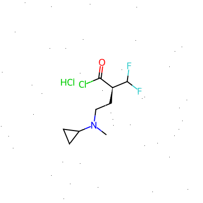 CN(CC[C@@H](C(=O)Cl)C(F)F)C1CC1.Cl